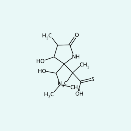 CC(C)C(O)C1(C(C)(C)C(O)=S)NC(=O)C(C)C1O